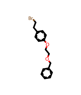 BrCCc1ccc(OCCOCc2ccccc2)cc1